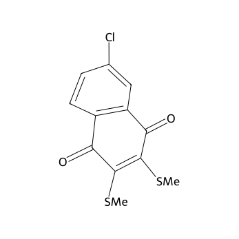 CSC1=C(SC)C(=O)c2cc(Cl)ccc2C1=O